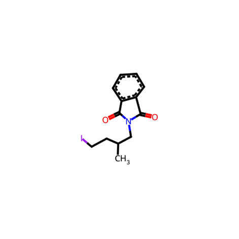 CC(CCI)CN1C(=O)c2ccccc2C1=O